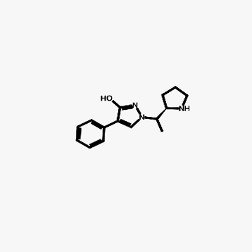 CC([C@H]1CCCN1)n1cc(-c2ccccc2)c(O)n1